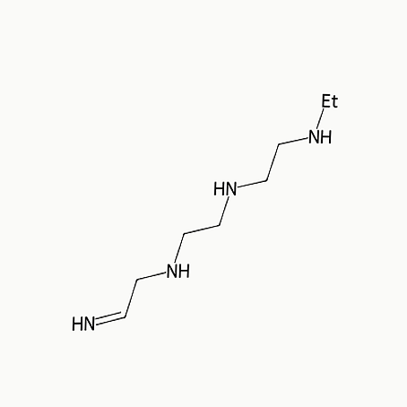 CCNCCNCCNCC=N